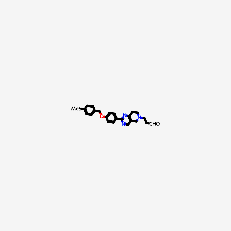 CSc1ccc(COc2ccc(-c3ncc4c(n3)CCN(CCC=O)C4)cc2)cc1